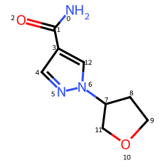 NC(=O)c1cnn(C2CCOC2)c1